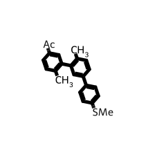 CSc1ccc(-c2ccc(C)c(-c3cc(C(C)=O)ccc3C)c2)cc1